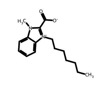 CCCCCCC[n+]1c(C(=O)[O-])n(C)c2ccccc21